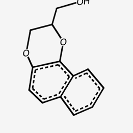 OCC1COc2ccc3ccccc3c2O1